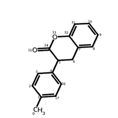 Cc1ccc(C2Cc3ccccc3OC2=O)cc1